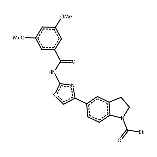 CCC(=O)N1CCc2cc(-c3csc(NC(=O)c4cc(OC)cc(OC)c4)n3)ccc21